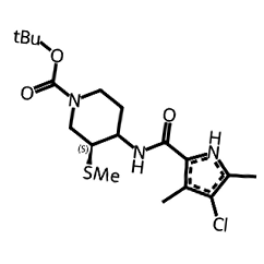 CS[C@H]1CN(C(=O)OC(C)(C)C)CCC1NC(=O)c1[nH]c(C)c(Cl)c1C